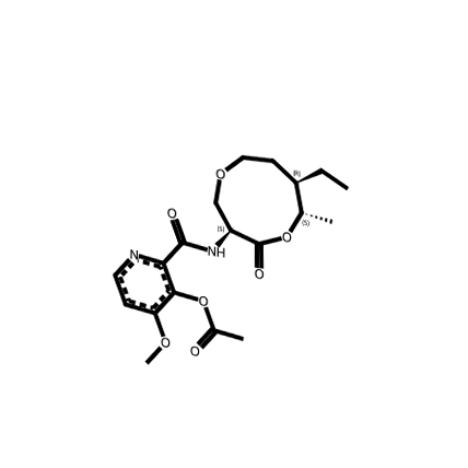 CC[C@@H]1CCOC[C@H](NC(=O)c2nccc(OC)c2OC(C)=O)C(=O)O[C@H]1C